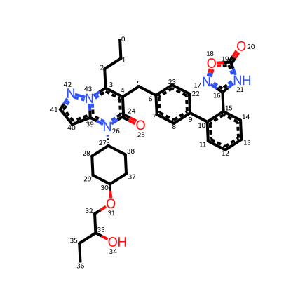 CCCc1c(Cc2ccc(-c3ccccc3-c3noc(=O)[nH]3)cc2)c(=O)n([C@H]2CC[C@H](OCC(O)CC)CC2)c2ccnn12